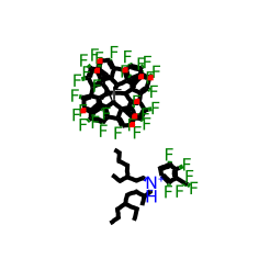 CCCCC(CC)CC[NH+](CC(C)CCC(CC)CCC)c1cc(F)c(F)c(C(F)(F)F)c1F.Fc1cc2c(c(F)c1F)-c1c(F)c(F)c(F)c(F)c1[CH]2[Al-]([CH]1c2cc(F)c(F)c(F)c2-c2c(F)c(F)c(F)c(F)c21)([CH]1c2cc(F)c(F)c(F)c2-c2c(F)c(F)c(F)c(F)c21)[CH]1c2cc(F)c(F)c(F)c2-c2c(F)c(F)c(F)c(F)c21